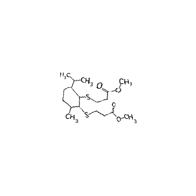 COC(=O)CCSC1C(C)CCC(C(C)C)C1SCCC(=O)OC